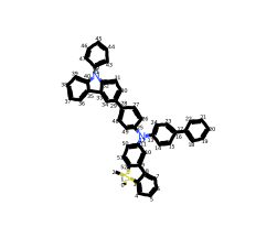 CS1(C)c2ccccc2-c2cc(N(c3ccc(-c4ccccc4)cc3)c3ccc(-c4ccc5c(c4)c4ccccc4n5-c4ccccc4)cc3)ccc21